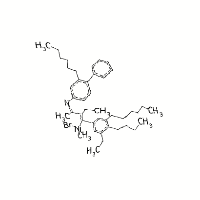 CCCCCCc1cc(N=C(C)C(CC)=[C](c2cc(CC)c(CCCC)c(CCCCCC)c2)[Ni]([CH3])[Br])ccc1-c1ccccc1